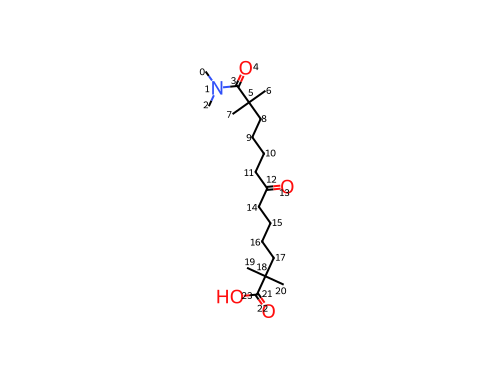 CN(C)C(=O)C(C)(C)CCCCC(=O)CCCCC(C)(C)C(=O)O